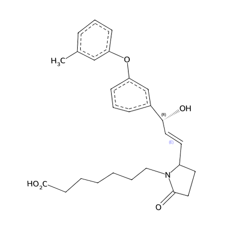 Cc1cccc(Oc2cccc([C@H](O)/C=C/C3CCC(=O)N3CCCCCCC(=O)O)c2)c1